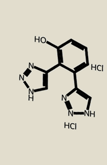 Cl.Cl.Oc1cccc(-c2c[nH]nn2)c1-c1c[nH]nn1